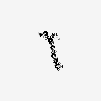 CC(C)Oc1cc2nn(C3CCN(C(=O)OC4CCN(c5ncc(C6CCC(=O)NC6=O)cc5F)CC4)CC3)cc2cc1C(=O)Nc1cccn([C@H]2C[C@H]2F)c1=O